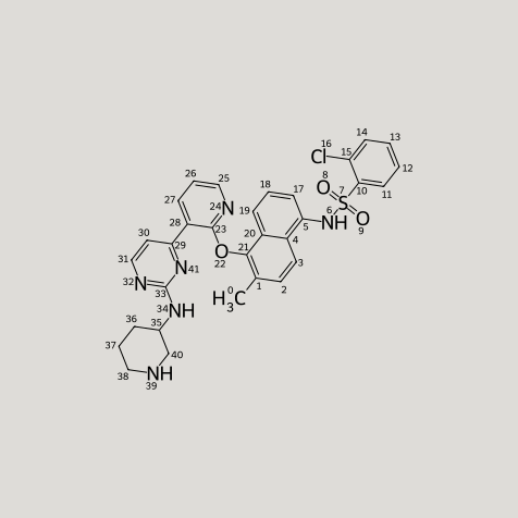 Cc1ccc2c(NS(=O)(=O)c3ccccc3Cl)cccc2c1Oc1ncccc1-c1ccnc(NC2CCCNC2)n1